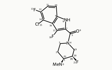 CN[C@H]1CCN(C(=O)c2[nH]c3ccc(F)c(Cl)c3c2F)C[C@H]1F